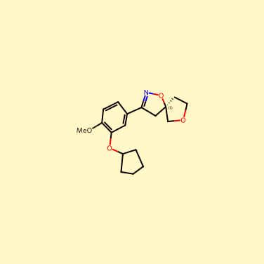 COc1ccc(C2=NO[C@]3(CCOC3)C2)cc1OC1CCCC1